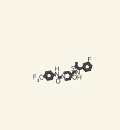 Cc1sc(C2(O)CCN(C(=O)Nc3ccc(C(F)(F)F)cc3)CC2)nc1-c1cccc(F)c1